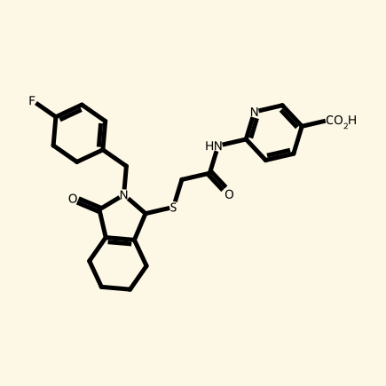 O=C(CSC1C2=C(CCCC2)C(=O)N1CC1=CC=C(F)CC1)Nc1ccc(C(=O)O)cn1